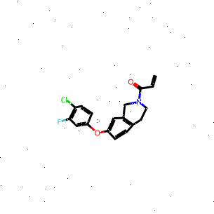 C=CC(=O)N1CCc2ccc(Oc3ccc(Cl)c(F)c3)cc2C1